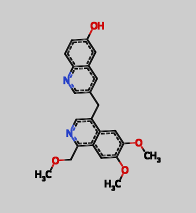 COCc1ncc(Cc2cnc3ccc(O)cc3c2)c2cc(OC)c(OC)cc12